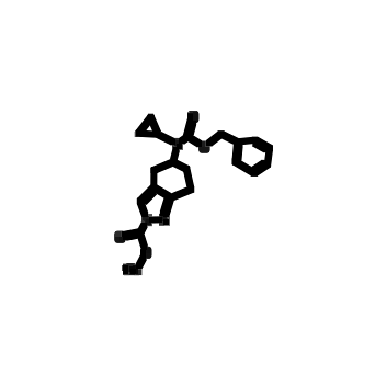 CC(C)(C)OC(=O)n1cc2c(n1)CCC(N(C(=O)OCc1ccccc1)C1CC1)C2